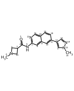 CN1CC(C(=O)Nc2cc3cc(-c4cnn(C)c4)ccc3cn2)C1